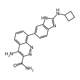 NC(=O)c1nnc2c(-c3ccc4nc(NC5CCC5)[nH]c4c3)cccc2c1N